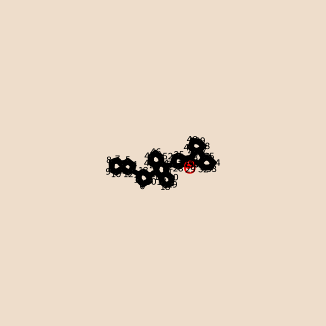 c1cc(-c2ccc3ccccc3c2)cc(-c2c3ccccc3c(-c3ccc4c(c3)oc3c5ccccc5c5ccccc5c43)c3ccccc23)c1